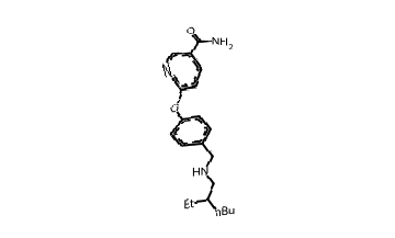 CCCCC(CC)CNCc1ccc(Oc2ccc(C(N)=O)cn2)cc1